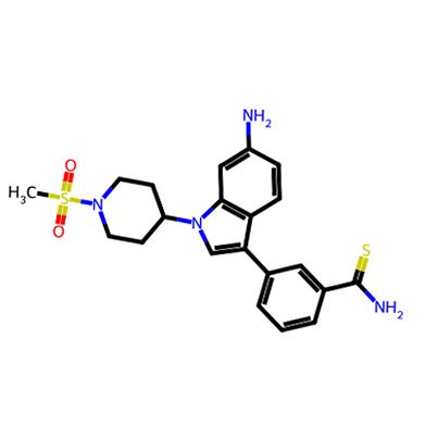 CS(=O)(=O)N1CCC(n2cc(-c3cccc(C(N)=S)c3)c3ccc(N)cc32)CC1